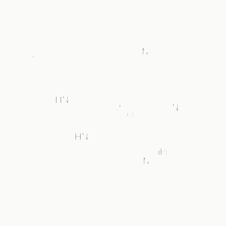 Cc1ccc(NC(=O)Nc2cc(CN3CC[C@H](N(C)C(=O)C(C)C)C3)ccc2F)cn1